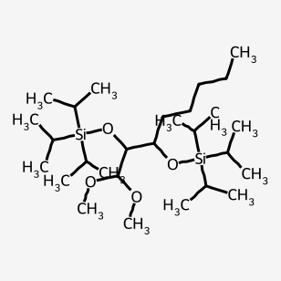 CCCCCC(O[Si](C(C)C)(C(C)C)C(C)C)C(O[Si](C(C)C)(C(C)C)C(C)C)C(OC)OC